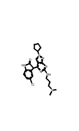 CN(C)CCCNc1nc(C2C(=O)Nc3ccc(Cl)cc32)c2cn(C3CCCC3)nc2n1